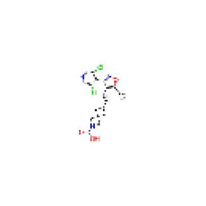 O=C(O)N1CC2(CC(/C=C/c3c(-c4c(Cl)cncc4Cl)noc3C3CC3)C2)C1